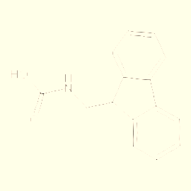 O=C(O)N[CH]C1c2ccccc2-c2ccccc21